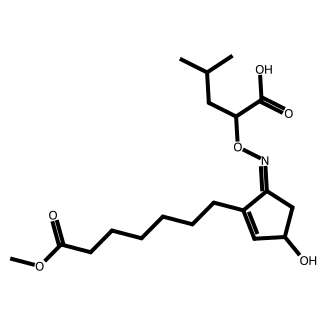 COC(=O)CCCCCCC1=CC(O)C/C1=N/OC(CC(C)C)C(=O)O